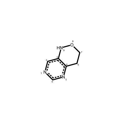 c1ncc2c(n1)CCON2